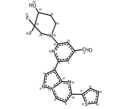 O=Cc1cc(-c2cnn3ccc(-c4cccs4)nc23)nc(N2CCC(O)C(F)(F)C2)c1